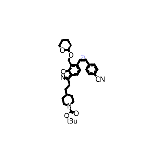 CC(C)(C)OC(=O)N1CCC(CCc2noc3c(COC4CCCCO4)c(/C=C\c4ccc(C#N)cc4)ccc23)CC1